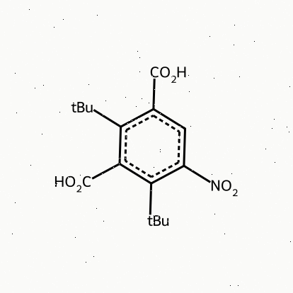 CC(C)(C)c1c(C(=O)O)cc([N+](=O)[O-])c(C(C)(C)C)c1C(=O)O